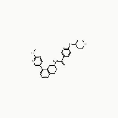 COc1ncc(-c2cccc3c2C[C@@H](NC(=O)c2ccc(OC4CCOCC4)nc2)CC3)cn1